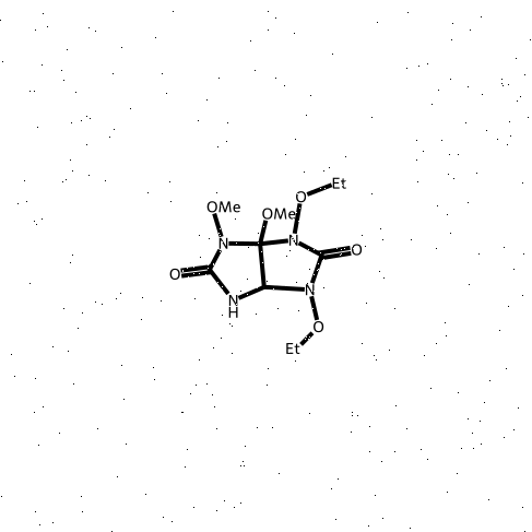 CCON1C(=O)N(OCC)C2(OC)C1NC(=O)N2OC